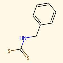 [S]C(=S)NCc1ccccc1